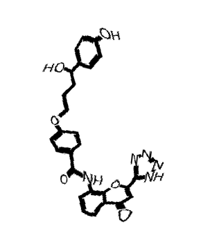 O=C(Nc1cccc2c(=O)cc(-c3nnn[nH]3)oc12)c1ccc(OCCCC(O)c2ccc(O)cc2)cc1